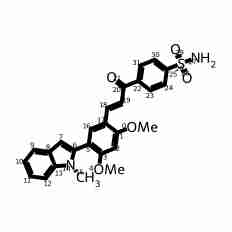 COc1cc(OC)c(-c2cc3ccccc3n2C)cc1/C=C/C(=O)c1ccc(S(N)(=O)=O)cc1